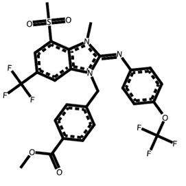 COC(=O)c1ccc(Cn2c(=Nc3ccc(OC(F)(F)F)cc3)n(C)c3c(S(C)(=O)=O)cc(C(F)(F)F)cc32)cc1